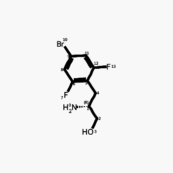 N[C@@H](CO)Cc1c(F)cc(Br)cc1F